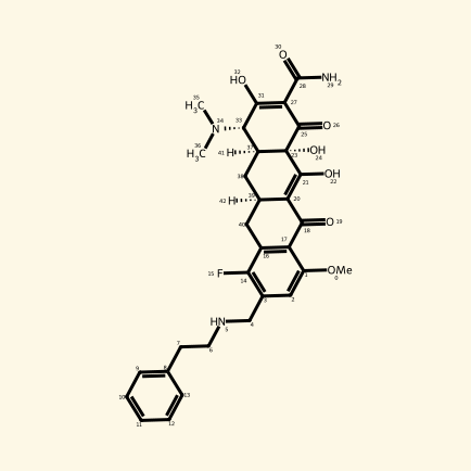 COc1cc(CNCCc2ccccc2)c(F)c2c1C(=O)C1=C(O)[C@]3(O)C(=O)C(C(N)=O)=C(O)[C@@H](N(C)C)[C@@H]3C[C@@H]1C2